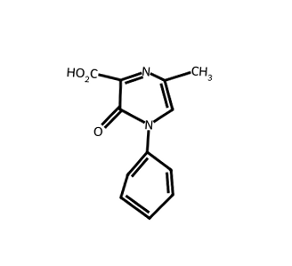 Cc1cn(-c2ccccc2)c(=O)c(C(=O)O)n1